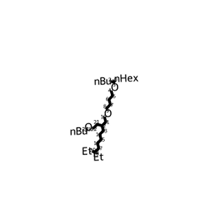 CCCCCCC(CCCC)OCCCCCOCCC(CCCCCC(CC)CC)CCOCCCC